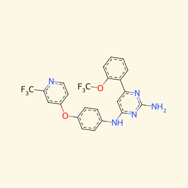 Nc1nc(Nc2ccc(Oc3ccnc(C(F)(F)F)c3)cc2)cc(-c2ccccc2OC(F)(F)F)n1